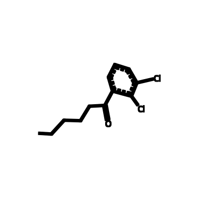 CCCCCC(=O)c1cccc(Cl)c1Cl